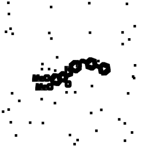 COc1cc2c(cc1OC)C(=O)C(CC1(F)CCN(Cc3ccc(-c4ccccc4)cc3)CC1)C2